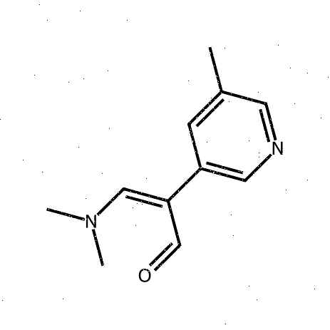 Cc1cncc(C(C=O)=CN(C)C)c1